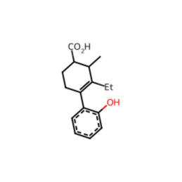 CCC1=C(c2ccccc2O)CCC(C(=O)O)C1C